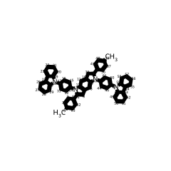 Cc1ccc(-c2cc3cc4c(cc3n2-c2ccc(-n3c5ccccc5c5ccccc53)cc2)CC(c2ccc(C)cc2)N4c2ccc(-n3c4ccccc4c4ccccc43)cc2)cc1